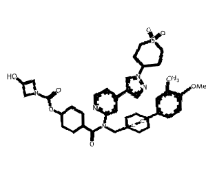 COc1ccc(C23CCC(CN(C(=O)C4CCC(OC(=O)N5CC(O)C5)CC4)c4cc(-c5cnn(C6CCS(=O)(=O)CC6)c5)ccn4)(CC2)CC3)cc1C